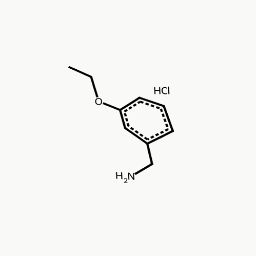 CCOc1cccc(CN)c1.Cl